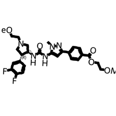 COCCOC(=O)c1ccc(-c2cc(NC(=O)N[C@@H]3CN(CCOC)C[C@H]3c3ccc(F)c(F)c3)n(C)n2)cc1